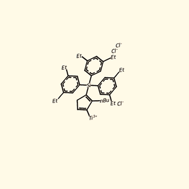 CCCCC1=C([Si](c2cc(CC)cc(CC)c2)(c2cc(CC)cc(CC)c2)c2cc(CC)cc(CC)c2)CC=[C]1[Ti+3].[Cl-].[Cl-].[Cl-]